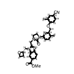 COC(=O)c1ccc2nc(CN3CCN(c4ccc(F)c(COc5ccc(C#N)cc5F)n4)C3=O)n(C[C@@H]3CCO3)c2c1